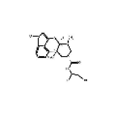 CCC(CO)NC(=O)[C@H]1CN(C)[C@@H]2Cc3cn(C)c4cccc(c34)[C@@]2(OC)C1